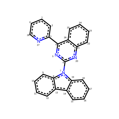 c1ccc(-c2nc(-n3c4ccccc4c4ccccc43)nc3ccccc23)nc1